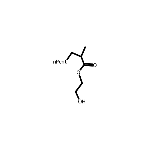 CCCCCCC(C)C(=O)OCCO